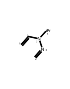 C=CN(N=C)C(C)C